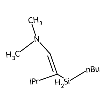 CCCC[SiH2]C(=CN(C)C)C(C)C